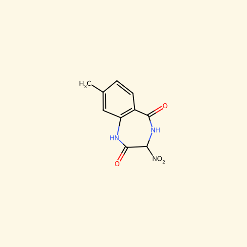 Cc1ccc2c(c1)NC(=O)C([N+](=O)[O-])NC2=O